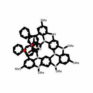 CSc1cc2c3c(c1)N(SC)c1cc4c(cc1B3c1cc3c(cc1N2SC)Nc1cc(SC)cc2c1B3c1oc3ccccc3c1N2c1ccccc1)B1c2oc3ccccc3c2N(c2ccccc2)c2cc(SC)cc(c21)N4SC